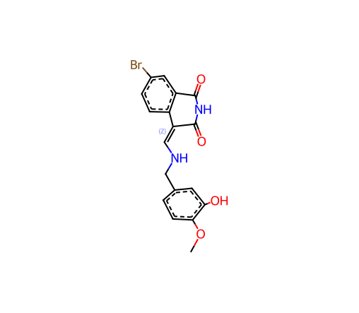 COc1ccc(CN/C=C2\C(=O)NC(=O)c3cc(Br)ccc32)cc1O